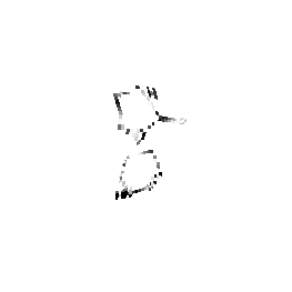 C1=CNCCC1.O=C1NCCO1